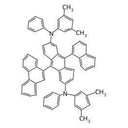 Cc1cc(C)cc(N(c2ccccc2)c2ccc3c(-c4cc5ccccc5c5ccccc45)c4cc(N(c5ccccc5)c5cc(C)cc(C)c5)ccc4c(-c4cccc5ccccc45)c3c2)c1